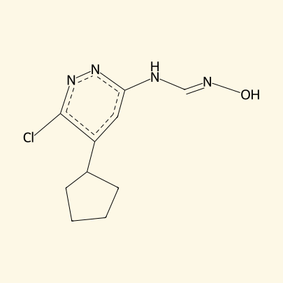 ON=CNc1cc(C2CCCC2)c(Cl)nn1